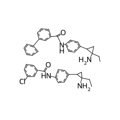 CCC1(N)CC1c1ccc(NC(=O)c2cccc(-c3ccccc3)c2)cc1.CCC1(N)CC1c1ccc(NC(=O)c2cccc(Cl)c2)cc1